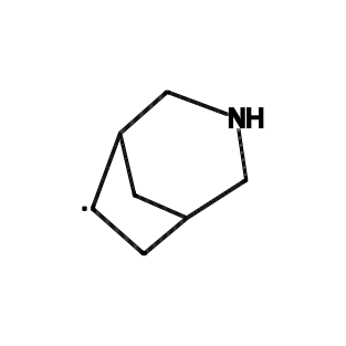 [CH]1CC2CNCC1C2